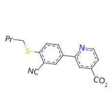 CC(C)CSc1ccc(-c2cc(C(=O)O)ccn2)cc1C#N